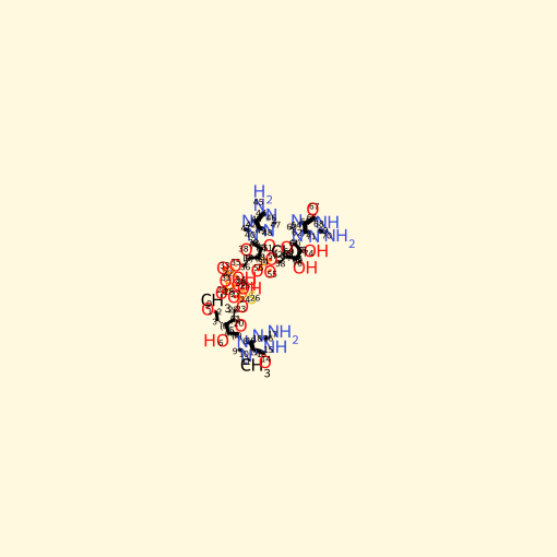 COCC[C@H]1[C@@H](O)[C@H](n2c[n+](C)c3c(=O)[nH]c(N)nc32)O[C@@H]1COP(O)(=S)OP(=O)(O)OP(=O)(O)OC[C@H]1O[C@@H](n2cnc3c(N)ncnc32)[C@H](OC)[C@@H]1P(=O)([O-])OC[C@H]1O[C@@H](n2cnc3c(=O)[nH]c(N)nc32)[C@H](O)[C@@H]1O